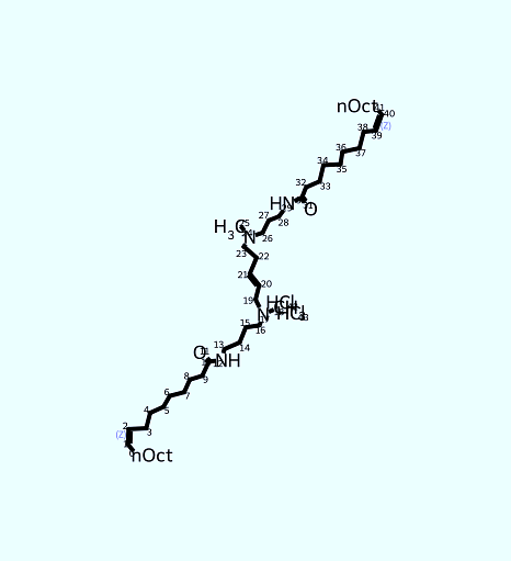 CCCCCCCC/C=C\CCCCCCCC(=O)NCCCCN(C)CC=CCCN(C)CCCNC(=O)CCCCCCC/C=C\CCCCCCCC.Cl.Cl